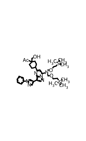 CC(=O)C1(CO)CCC(c2cc(N(COCC[Si](C)(C)C)COCC[Si](C)(C)C)n3ncc(-c4cnn(-c5ccccc5)c4)c3n2)CC1